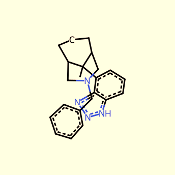 CC1(c2cccc3[nH]nnc23)C2CCCC1CN(Cc1ccccc1)C2